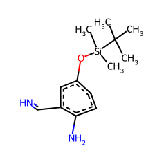 CC(C)(C)[Si](C)(C)Oc1ccc(N)c(C=N)c1